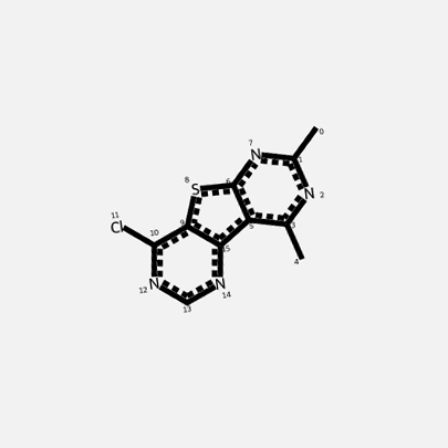 Cc1nc(C)c2c(n1)sc1c(Cl)ncnc12